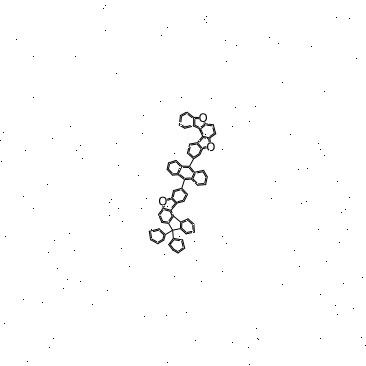 c1ccc(C2(c3ccccc3)c3ccccc3-c3c2ccc2oc4cc(-c5c6ccccc6c(-c6ccc7c(c6)oc6ccc8oc9ccccc9c8c67)c6ccccc56)ccc4c32)cc1